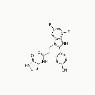 N#Cc1ccc(-c2[nH]c3c(F)cc(F)cc3c2/C=C/C(=O)NC2CCNC2=O)cc1